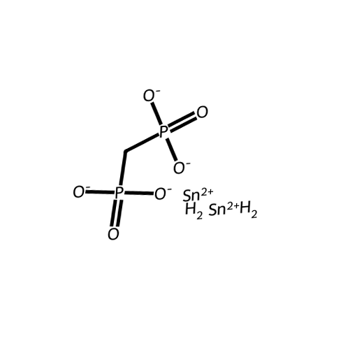 O=P([O-])([O-])CP(=O)([O-])[O-].[SnH2+2].[SnH2+2]